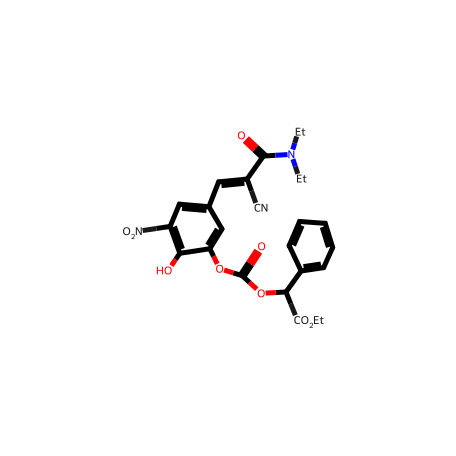 CCOC(=O)C(OC(=O)Oc1cc(/C=C(\C#N)C(=O)N(CC)CC)cc([N+](=O)[O-])c1O)c1ccccc1